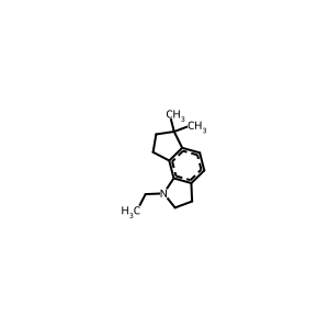 CCN1CCc2ccc3c(c21)CCC3(C)C